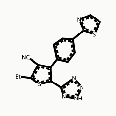 CCc1sc(-c2nn[nH]n2)c(-c2ccc(-c3nccs3)cc2)c1C#N